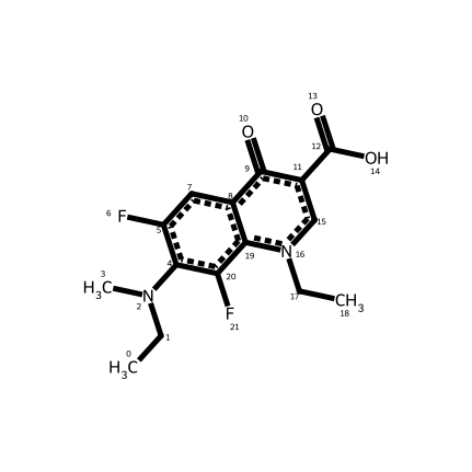 CCN(C)c1c(F)cc2c(=O)c(C(=O)O)cn(CC)c2c1F